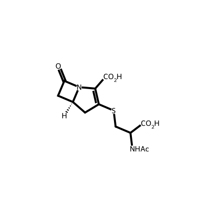 CC(=O)NC(CSC1=C(C(=O)O)N2C(=O)C[C@@H]2C1)C(=O)O